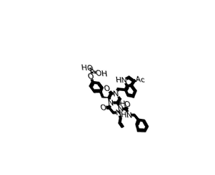 C=CCN1CC(=O)N2[C@@H](Cc3ccc(OP(O)O)cc3)C(=O)N(Cc3cccc4c(C(C)=O)c[nH]c34)C[C@@H]2N1C(=O)NCc1ccccc1